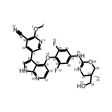 COc1ncc(-c2c[nH]c3nccc(Oc4c(F)cc(NC5=NC[C@](C)(CO)CO5)cc4F)c23)cc1C#N